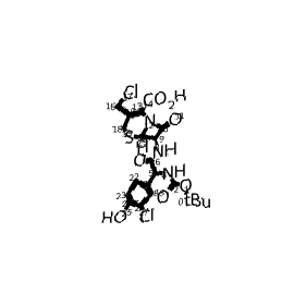 CC(C)(C)OC(=O)NC(C(=O)N[C@@H]1C(=O)N2C(C(=O)O)=C(CCl)CS[C@@H]12)c1ccc(O)c(Cl)c1